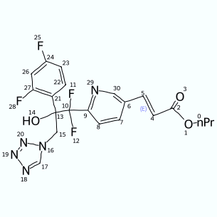 CCCOC(=O)/C=C/c1ccc(C(F)(F)C(O)(Cn2cnnn2)c2ccc(F)cc2F)nc1